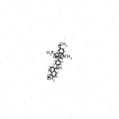 COc1ccc([C@@H](C)N=[S@@](=O)(NC[C@@H](C)O)c2ccc(Nc3ccnc4c(OC)nccc34)cc2)cc1